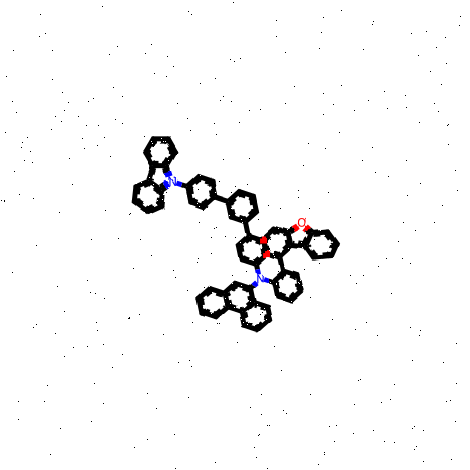 c1cc(-c2ccc(N(c3ccccc3-c3cccc4oc5ccccc5c34)c3cc4ccccc4c4ccccc34)cc2)cc(-c2ccc(-n3c4ccccc4c4ccccc43)cc2)c1